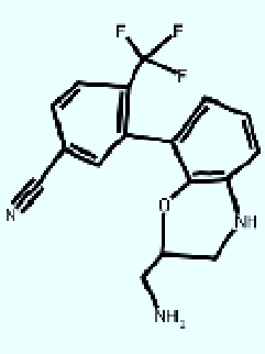 N#Cc1ccc(C(F)(F)F)c(-c2cccc3c2OC(CN)CN3)c1